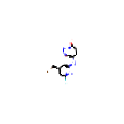 O=C1CCC(Nc2cc(CBr)cc(F)n2)C(=O)N1